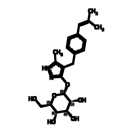 CC(C)=Cc1ccc(Cc2c(O[C@@H]3O[C@H](CO)[C@@H](O)[C@H](O)[C@H]3O)n[nH]c2C)cc1